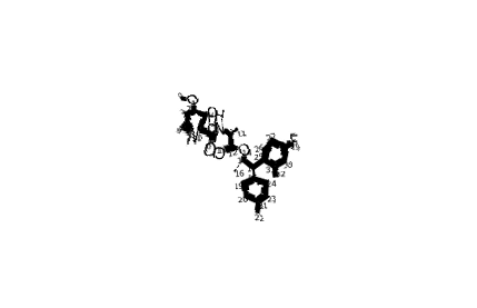 COc1ccnc(C(=O)N[C@@H](C)C(=O)O[C@@H](C)[C@H](c2ccc(C)cc2)c2ccc(F)cc2C)c1O